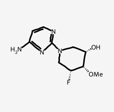 CO[C@@H]1[C@H](F)CN(c2nccc(N)n2)C[C@@H]1O